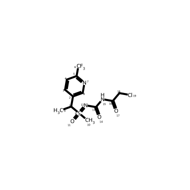 CC(c1ccc(C(F)(F)F)nc1)S(C)(=O)=NC(=O)NC(=O)CCl